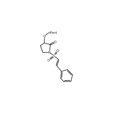 CCCCCOC1CCN(S(=O)(=O)C=Cc2ccccc2)C1=O